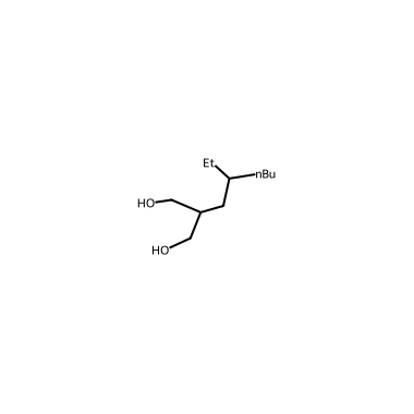 CCCCC(CC)CC(CO)CO